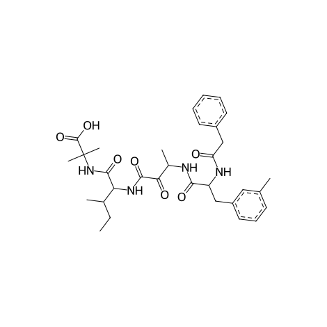 CCC(C)C(NC(=O)C(=O)C(C)NC(=O)C(Cc1cccc(C)c1)NC(=O)Cc1ccccc1)C(=O)NC(C)(C)C(=O)O